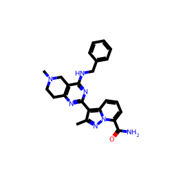 Cc1nn2c(C(N)=O)cccc2c1-c1nc2c(c(NCc3ccccc3)n1)CN(C)CC2